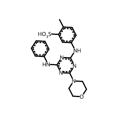 Cc1ccc(Nc2nc(Nc3ccccc3)nc(N3CCOCC3)n2)cc1S(=O)(=O)O